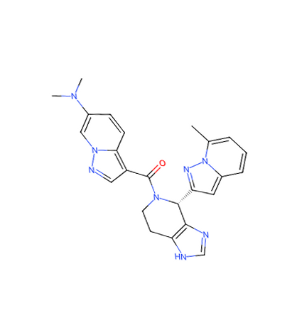 Cc1cccc2cc([C@@H]3c4nc[nH]c4CCN3C(=O)c3cnn4cc(N(C)C)ccc34)nn12